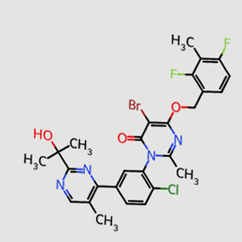 Cc1cnc(C(C)(C)O)nc1-c1ccc(Cl)c(-n2c(C)nc(OCc3ccc(F)c(C)c3F)c(Br)c2=O)c1